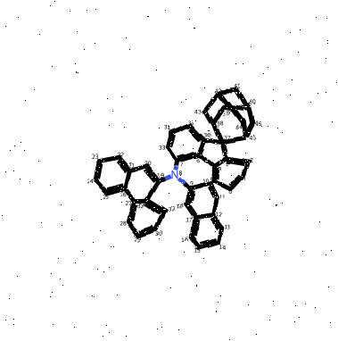 c1ccc2c(c1)-c1c(N(c3ccc4ccccc4c3)c3cc4ccccc4c4ccccc34)cccc1C21C2CC3CC(C2)CC1C3